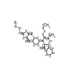 C=CCCN1[C@H](c2ccc(N[C@H]3CN(CCCF)C[C@H]3F)cc2)c2[nH]c3ccccc3c2C[C@H]1C